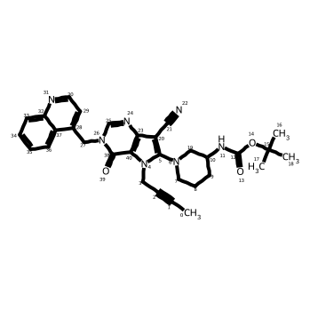 CC#CCn1c(N2CCCC(NC(=O)OC(C)(C)C)C2)c(C#N)c2ncn(Cc3ccnc4ccccc34)c(=O)c21